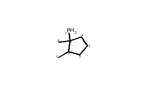 CC1CCCC1(C)P